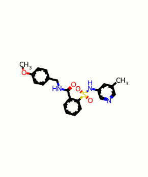 COc1ccc(CNC(=O)c2ccccc2S(=O)(=O)Nc2cncc(C)c2)cc1